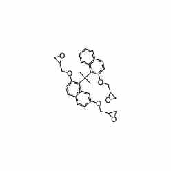 CC(C)(c1c(OCC2CO2)ccc2ccccc12)c1c(OCC2CO2)ccc2ccc(OCC3CO3)cc12